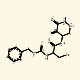 CC(C)CC(NC(=O)OCc1ccccc1)C(=O)NC1CNNC(=O)C1=O